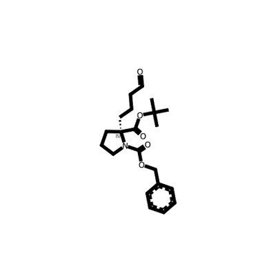 CC(C)(C)OC(=O)[C@]1(CCCC=O)CCCN1C(=O)OCc1ccccc1